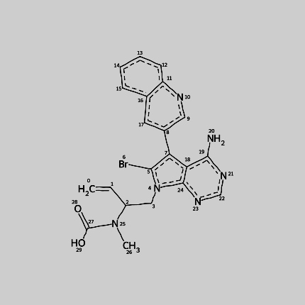 C=CC(Cn1c(Br)c(-c2cnc3ccccc3c2)c2c(N)ncnc21)N(C)C(=O)O